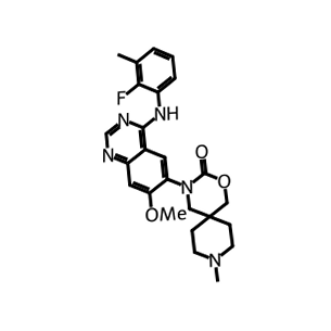 COc1cc2ncnc(Nc3cccc(C)c3F)c2cc1N1CC2(CCN(C)CC2)COC1=O